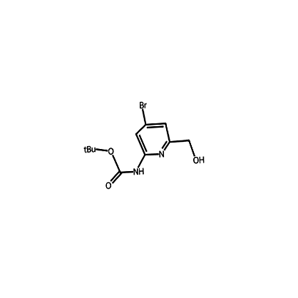 CC(C)(C)OC(=O)Nc1cc(Br)cc(CO)n1